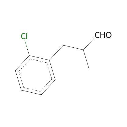 CC(C=O)Cc1ccccc1Cl